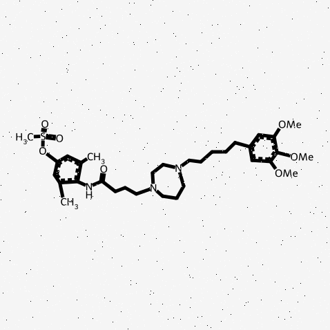 COc1cc(CCCCCN2CCCN(CCCC(=O)Nc3c(C)cc(OS(C)(=O)=O)cc3C)CC2)cc(OC)c1OC